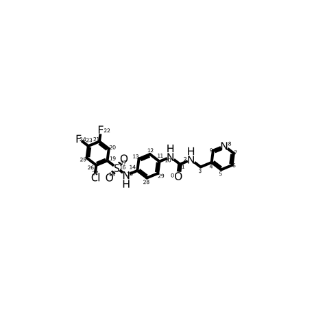 O=C(NCc1cccnc1)Nc1ccc(NS(=O)(=O)c2cc(F)c(F)cc2Cl)cc1